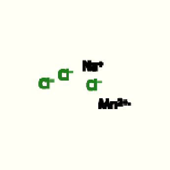 [Cl-].[Cl-].[Cl-].[Mn+2].[Na+]